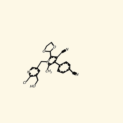 Cc1c(-c2ccc(C#N)cc2)c(C#N)c(C2OCCO2)n1Cc1cnc(Cl)c(CO)c1